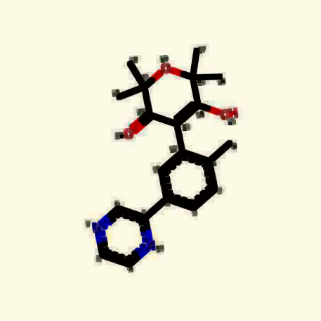 Cc1ccc(-c2cnccn2)cc1C1=C(O)C(C)(C)OC(C)(C)C1=O